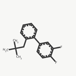 CC(C)(C)Cc1ccccc1-c1ccc(F)c(F)c1